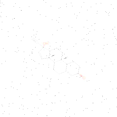 C#C[C@]1(O)C=C[C@H]2[C@@H]3CCC4=CC(=O)CCC4[C@H]3CC[C@@]21CC